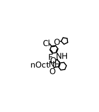 CCCCCCCCNC(=O)C1=C(C(=O)Nc2cc(OC3CCCC3)c(Cl)cc2F)CCCC1